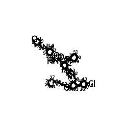 Cc1cc(S(=O)(=O)NC(=O)c2ccc(N3CCN(Cc4cc(OCCCN5CCCCC5)ccc4-c4ccc(Cl)cc4)CC3)cc2Oc2ccccc2)ccc1NCC1CCOCC1